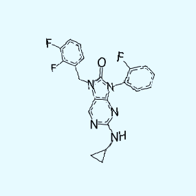 O=c1n(Cc2cccc(F)c2F)c2cnc(NC3CC3)nc2n1-c1ccccc1F